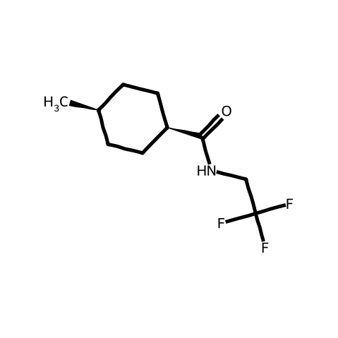 C[C@H]1CC[C@@H](C(=O)NCC(F)(F)F)CC1